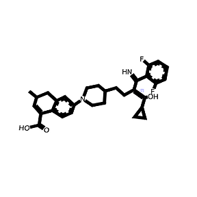 CC1C=C(C(=O)O)c2ccc(N3CCC(CC/C(C(=N)c4c(F)cccc4F)=C(/O)C4CC4)CC3)cc2C1